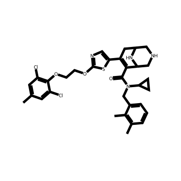 Cc1cc(Cl)c(OCCOc2ncc(C3=C(C(=O)N(Cc4cccc(C)c4C)C4CC4)C4CNCC(C3)N4)s2)c(Cl)c1